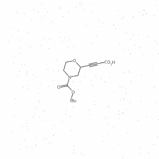 CC(C)(C)OC(=O)N1CCOC(C#CC(=O)O)C1